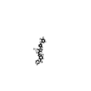 Nc1c(C(=O)c2cc3cc(C(=O)N4CCOCC4)ccc3[nH]2)cnn1-c1ccc(Oc2cccc(F)c2F)cc1